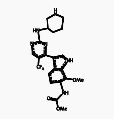 COC(=O)Nc1ccc2c(-c3nc(NC4CCCNC4)ncc3C(F)(F)F)c[nH]c2c1OC